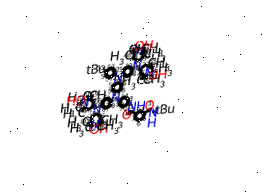 CC(C)(C)NC(=O)c1cccc(C(=O)Nc2ccc(N(c3ccc(N(c4ccc(N(C5CC(C)(C)N(O)C(C)(C)C5)C5CC(C)(C)N(O)C(C)(C)C5)cc4)c4ccc(C(C)(C)C)cc4)cc3)c3ccc(N(C4CC(C)(C)N(O)C(C)(C)C4)C4CC(C)(C)N(O)C(C)(C)C4)cc3)cc2)c1